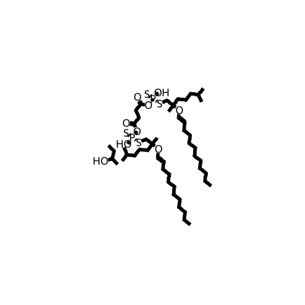 CCC(C)O.CCCCCCCCCCC=COC(C)(CCCC(C)C)CSP(O)(=S)OC(=O)CCC(=O)OP(O)(=S)SCC(C)(CCCC(C)C)OC=CCCCCCCCCCC